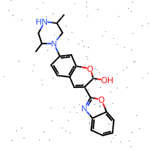 CC1CN(c2ccc3c(c2)OC(O)C(c2nc4ccccc4o2)=C3)C(C)CN1